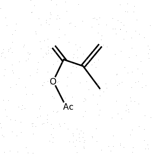 C=C(C)C(=C)OC(C)=O